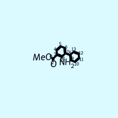 COC(=O)c1cccc(-c2ccccc2)c1N